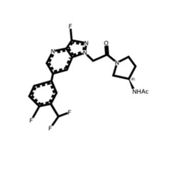 CC(=O)N[C@@H]1CCN(C(=O)Cn2nc(F)c3ncc(-c4ccc(F)c(C(F)F)c4)cc32)C1